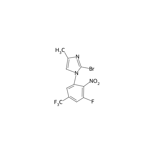 Cc1cn(-c2cc(C(F)(F)F)cc(F)c2[N+](=O)[O-])c(Br)n1